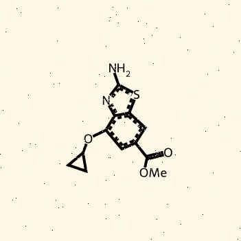 COC(=O)c1cc(OC2CC2)c2nc(N)sc2c1